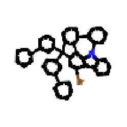 Brc1cc2c3c4c1c1ccccc1n4-c1ccccc1-c1cccc(c1-3)C2(c1cccc(-c2ccccc2)c1)c1cccc(-c2ccccc2)c1